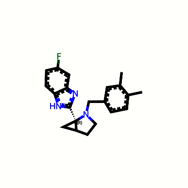 Cc1ccc(CN2CCC3C[C@]32c2nc3cc(F)ccc3[nH]2)cc1C